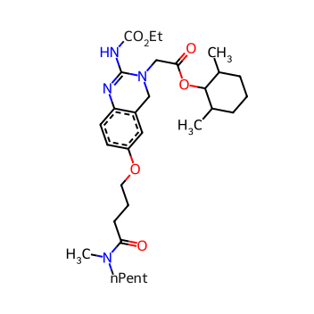 CCCCCN(C)C(=O)CCCOc1ccc2c(c1)CN(CC(=O)OC1C(C)CCCC1C)C(NC(=O)OCC)=N2